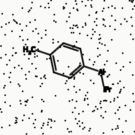 Cc1cc[c]([Al][CH](C)C)cc1